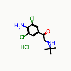 CC(C)(C)NCC(=O)c1cc(Cl)c(N)c(Cl)c1.Cl